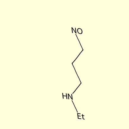 CCNCCCN=O